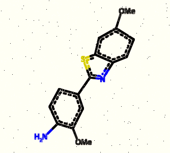 COc1ccc2nc(-c3ccc(N)c(OC)c3)sc2c1